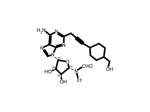 CCN(C=O)[C@H]1O[C@@H](n2cnc3c(N)nc(CC#CC4CCC(CO)CC4)nc32)[C@H](O)[C@@H]1O